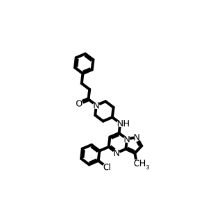 Cc1cnn2c(NC3CCN(C(=O)CCc4ccccc4)CC3)cc(-c3ccccc3Cl)nc12